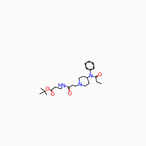 CCC(=O)N(c1ccccc1)C1CCN(CCC(=O)NCCC(=O)OC(C)(C)C)CC1